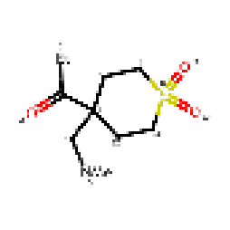 CCC(=O)C1(CNC)CCS(=O)(=O)CC1